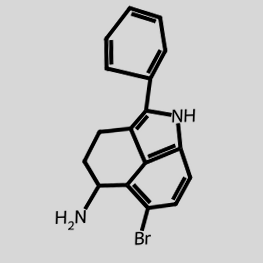 NC1CCc2c(-c3ccccc3)[nH]c3ccc(Br)c1c23